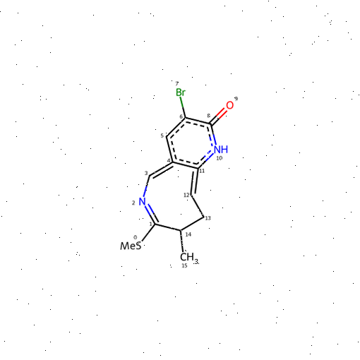 CS/C1=N/C=c2/cc(Br)c(=O)[nH]/c2=C\CC1C